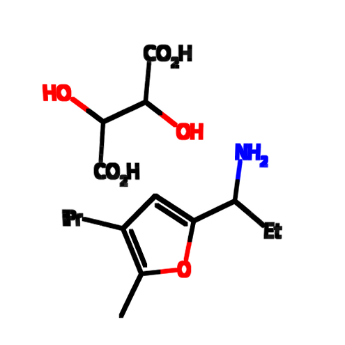 CCC(N)c1cc(C(C)C)c(C)o1.O=C(O)C(O)C(O)C(=O)O